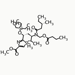 CCCC(=O)OCN(C(=O)C[C@@H](C)CC)[C@H](C[C@@H](O[Si](CC)(CC)CC)c1nc(C(=O)OC)cs1)C(C)C